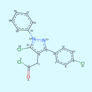 O=C(Cl)Cc1c(-c2ccc(Cl)cc2)nn(-c2ccccc2)c1Cl